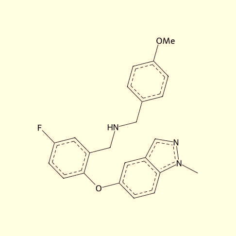 COc1ccc(CNCc2cc(F)ccc2Oc2ccc3c(cnn3C)c2)cc1